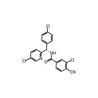 N#Cc1ccc(C(=O)N[C@@H](c2ccc(Cl)cc2)c2ccc(Cl)cn2)cc1Cl